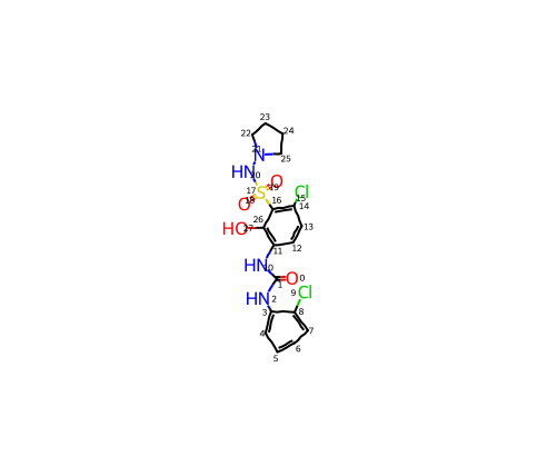 O=C(Nc1ccccc1Cl)Nc1ccc(Cl)c(S(=O)(=O)NN2CCCC2)c1O